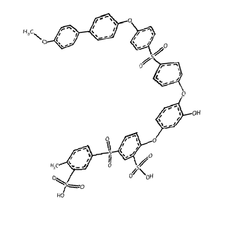 COc1ccc(-c2ccc(Oc3ccc(S(=O)(=O)c4ccc(Oc5ccc(Oc6ccc(S(=O)(=O)c7ccc(C)c(S(=O)(=O)O)c7)cc6S(=O)(=O)O)cc5O)cc4)cc3)cc2)cc1